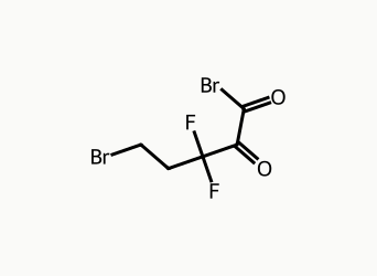 O=C(Br)C(=O)C(F)(F)CCBr